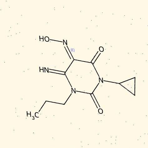 CCCN1C(=N)/C(=N\O)C(=O)N(C2CC2)C1=O